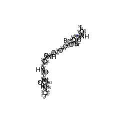 Cc1ccc(-n2nc3c(=O)n(CCCC(=O)NCCc4ccc(C(=O)NCCOCCOCCOCCOc5c(Br)cc(/C=C6\C(=O)Nc7ccc(I)cc76)cc5Br)cc4)nc(C)c3c2C)cc1